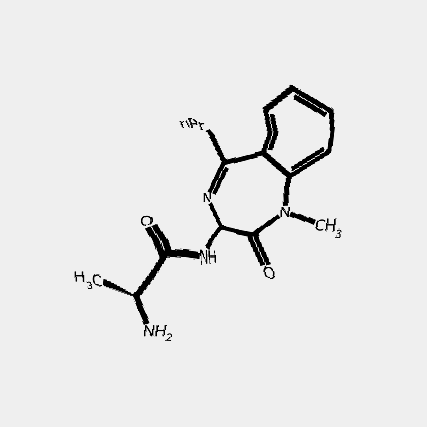 CCCC1=NC(NC(=O)[C@H](C)N)C(=O)N(C)c2ccccc21